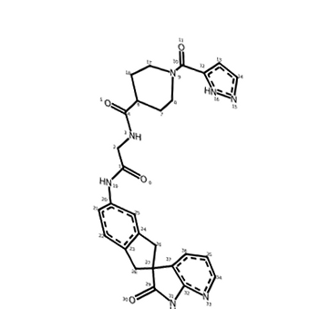 O=C(CNC(=O)C1CCN(C(=O)c2ccn[nH]2)CC1)Nc1ccc2c(c1)CC1(C2)C(=O)Nc2ncccc21